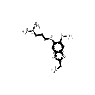 COc1cc2sc(CN)nc2cc1OCCCN(C)C